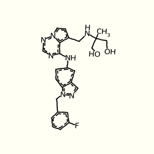 CC(CO)(CO)NCc1ccn2ncnc(Nc3ccc4c(cnn4Cc4cccc(F)c4)c3)c12